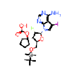 CC(C)(C)[Si](C)(C)OC[C@@H]1O[C@@H](n2cc(I)c3c(N)ncnc32)[C@@H](F)[C@H]1C1(OC(=O)O)CCCC1